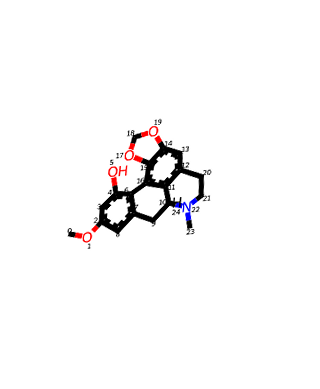 COc1cc(O)c2c(c1)C[C@@H]1c3c(cc4c(c3-2)OCO4)CCN1C